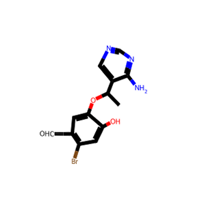 CC(Oc1cc(C=O)c(Br)cc1O)c1cncnc1N